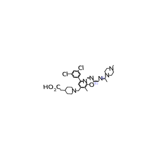 C=N/C(=C\N=C(/C)N1CCN(C)CC1)Oc1nc(-c2cc(Cl)cc(Cl)c2)cc(CN2CCC(CC(=O)O)CC2)c1C